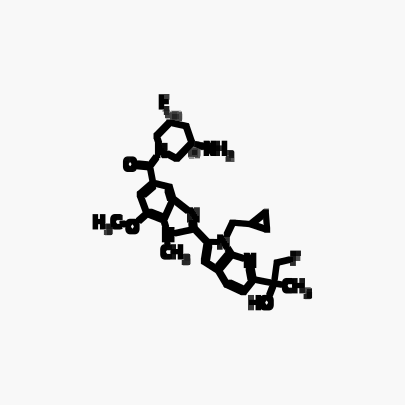 COc1cc(C(=O)N2C[C@H](N)C[C@@H](F)C2)cc2nc(-c3cc4ccc(C(C)(O)CF)nc4n3CC3CC3)n(C)c12